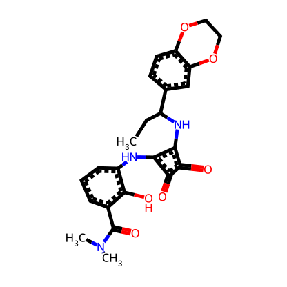 CCC(Nc1c(Nc2cccc(C(=O)N(C)C)c2O)c(=O)c1=O)c1ccc2c(c1)OCCO2